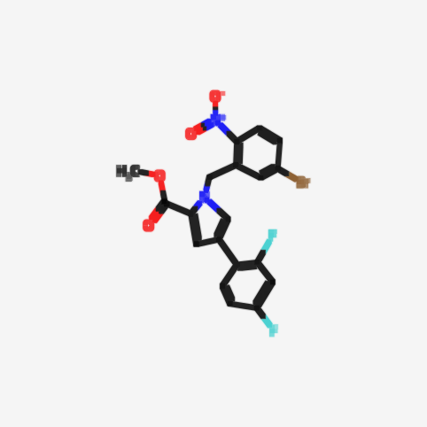 COC(=O)c1cc(-c2ccc(F)cc2F)cn1Cc1cc(Br)ccc1[N+](=O)[O-]